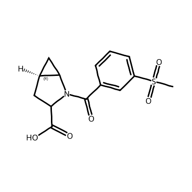 CS(=O)(=O)c1cccc(C(=O)N2C(C(=O)O)C[C@H]3CC32)c1